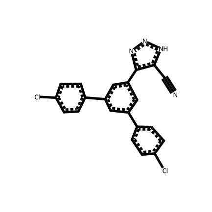 N#Cc1[nH]nnc1-c1cc(-c2ccc(Cl)cc2)cc(-c2ccc(Cl)cc2)c1